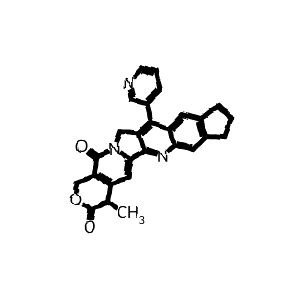 CC1C(=O)OCc2c1cc1n(c2=O)Cc2c-1nc1cc3c(cc1c2-c1cccnc1)CCC3